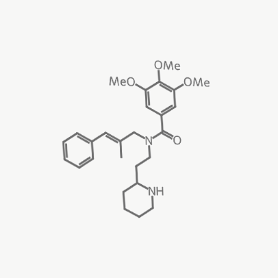 COc1cc(C(=O)N(CCC2CCCCN2)C/C(C)=C/c2ccccc2)cc(OC)c1OC